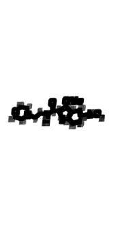 COc1c(C(=O)NCCN2CCOCC2)sc2ccc([N+](=O)[O-])cc12